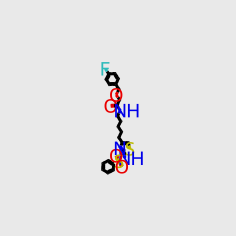 O=C(COCc1ccc(F)cc1)NCCCCCc1csc(NS(=O)(=O)c2ccccc2)n1